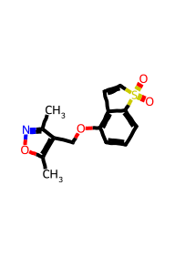 Cc1noc(C)c1COc1cccc2c1C=CS2(=O)=O